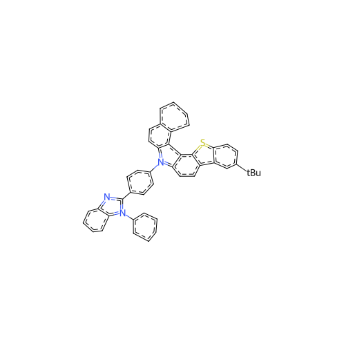 CC(C)(C)c1ccc2sc3c(ccc4c3c3c5ccccc5ccc3n4-c3ccc(-c4nc5ccccc5n4-c4ccccc4)cc3)c2c1